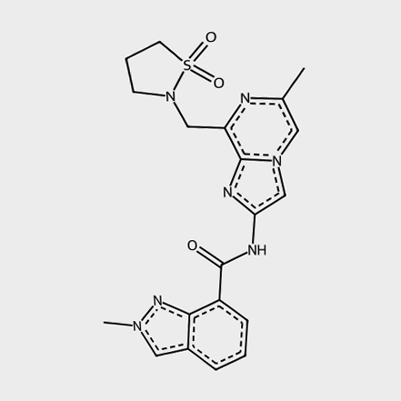 Cc1cn2cc(NC(=O)c3cccc4cn(C)nc34)nc2c(CN2CCCS2(=O)=O)n1